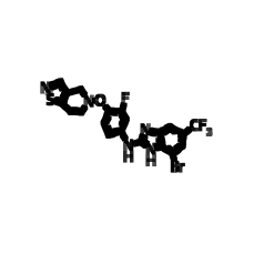 Fc1cc(Nc2nc3cc(C(F)(F)F)cc(Br)c3[nH]2)ccc1ON1C=Cc2sncc2C1